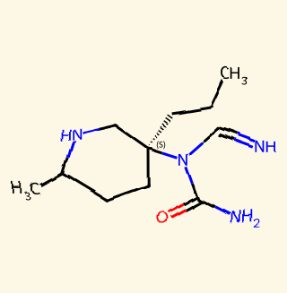 CCC[C@]1(N(C=N)C(N)=O)CCC(C)NC1